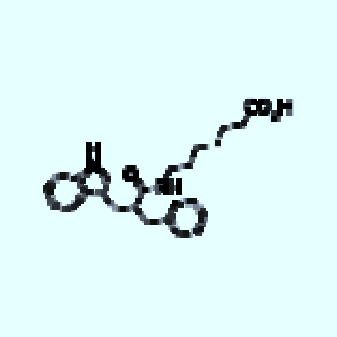 O=C(O)CCCCCCNC(=O)C(Cc1ccccc1)Cc1c[nH]c2ccccc12